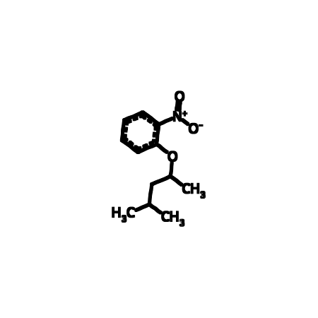 CC(C)CC(C)Oc1ccccc1[N+](=O)[O-]